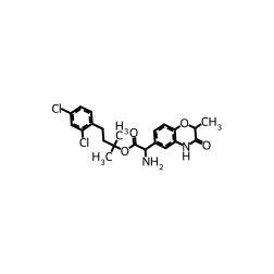 CC1Oc2ccc(C(N)C(=O)OC(C)(C)CCc3ccc(Cl)cc3Cl)cc2NC1=O